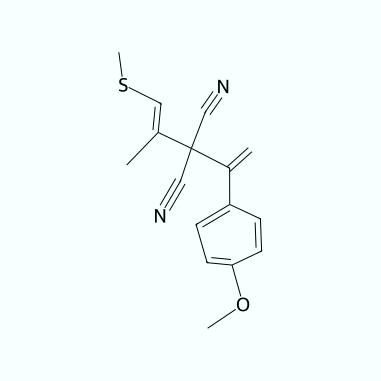 C=C(c1ccc(OC)cc1)C(C#N)(C#N)/C(C)=C/SC